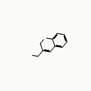 O=C(O)CC1=Cc2ccccc2SC1